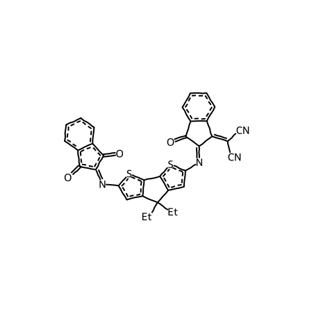 CCC1(CC)c2cc(N=c3c(=O)c4ccccc4c3=O)sc2-c2sc(/N=C3\C(=O)c4ccccc4C3=C(C#N)C#N)cc21